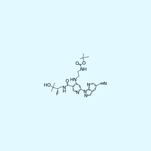 CC(C)(C)OC(=O)NCCNc1cc(-n2ncc3cc(C#N)cnc32)ncc1C(=O)NC[C@@H](F)C(C)(C)O